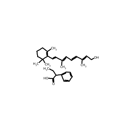 CC1=C(/C=C/C(C)=C/C=C/C(C)=C/CO)C(C)(C)CCC1.CCC(C(=O)O)c1ccccc1